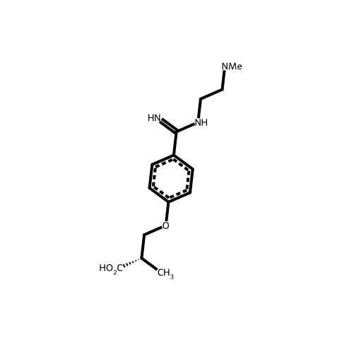 CNCCNC(=N)c1ccc(OC[C@H](C)C(=O)O)cc1